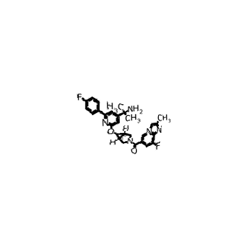 Cc1cn2cc(C(=O)N3C[C@@H]4C(Oc5cc(C(C)(C)N)cc(-c6ccc(F)cc6)n5)[C@@H]4C3)cc(F)c2n1